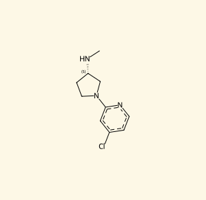 CN[C@H]1CCN(c2cc(Cl)ccn2)C1